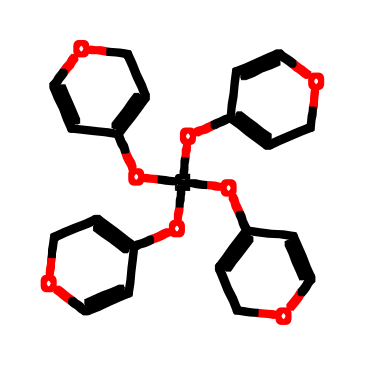 C1=CC(O[Si](OC2=CCOC=C2)(OC2=CCOC=C2)OC2=CCOC=C2)=CCO1